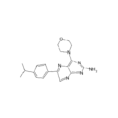 CC(C)c1ccc(-c2cnc3nc(N)nc(N4CCOCC4)c3n2)cc1